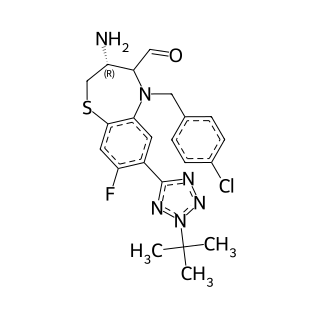 CC(C)(C)n1nnc(-c2cc3c(cc2F)SC[C@H](N)C(C=O)N3Cc2ccc(Cl)cc2)n1